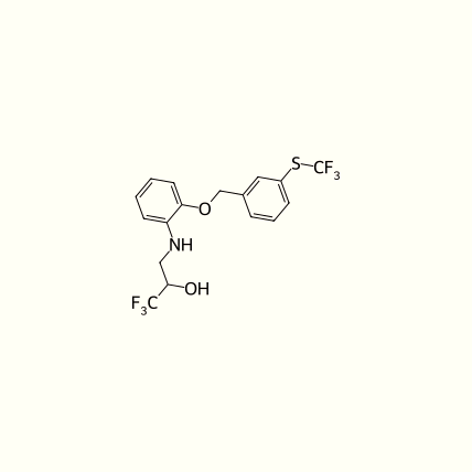 OC(CNc1ccccc1OCc1cccc(SC(F)(F)F)c1)C(F)(F)F